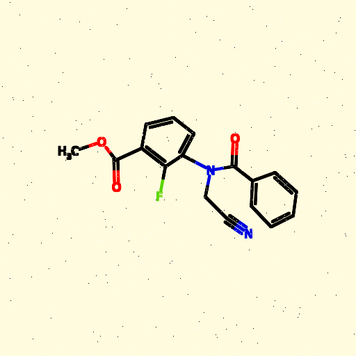 COC(=O)c1cccc(N(CC#N)C(=O)c2ccccc2)c1F